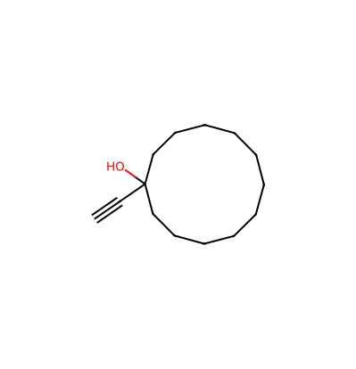 C#CC1(O)CCCCCCCCCCC1